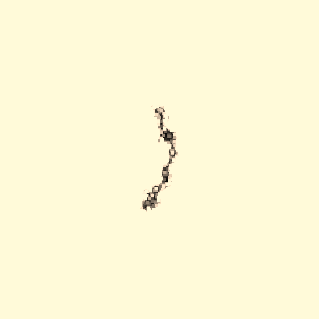 Cc1cccc(C(=O)NC2CC(n3cnc4c(NCc5ccc(OCCCN6CCN(C(=O)COc7ccc8c(c7)C(=O)N([C@H]7CCC(=O)NC7=O)C8=O)CC6)cc5)ncnc43)C2)n1